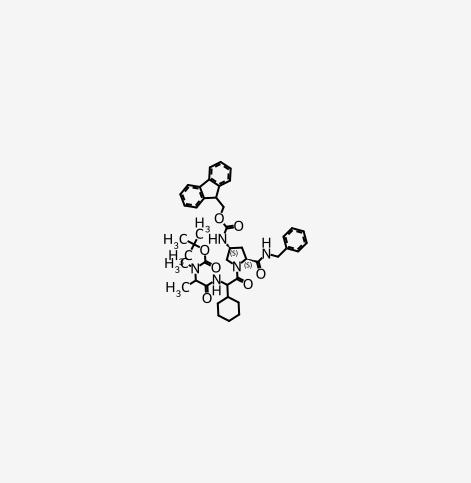 CC(C(=O)NC(C(=O)N1C[C@@H](NC(=O)OCC2c3ccccc3-c3ccccc32)C[C@H]1C(=O)NCc1ccccc1)C1CCCCC1)N(C)C(=O)OC(C)(C)C